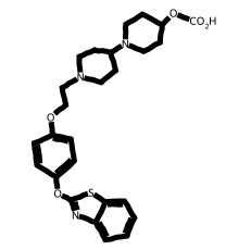 O=C(O)OC1CCN(C2CCN(CCOc3ccc(Oc4nc5ccccc5s4)cc3)CC2)CC1